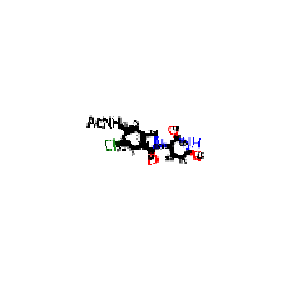 CC(=O)Nc1cc2c(cc1Cl)C(=O)N(C1CCC(=O)NC1=O)C2